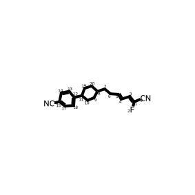 N#CC(F)=CC=CCCC1CCC(c2ccc(C#N)cc2)CC1